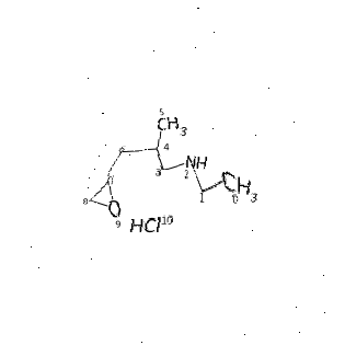 CCNCC(C)CC1CO1.Cl